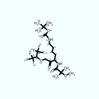 COC(C)(C)C(=O)NC(CCCCNC(=O)OC(C)(C)C)C(=O)COC(C(F)(F)F)C(F)(F)F